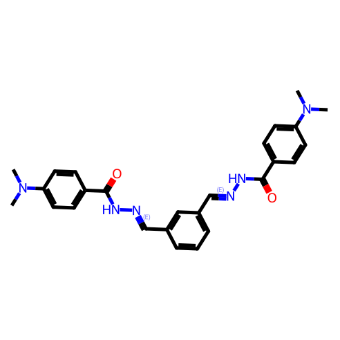 CN(C)c1ccc(C(=O)N/N=C/c2cccc(/C=N/NC(=O)c3ccc(N(C)C)cc3)c2)cc1